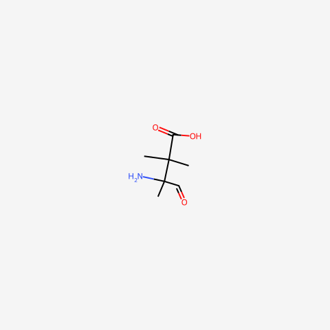 CC(N)(C=O)C(C)(C)C(=O)O